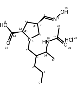 CCCC(CN1C[C@H](C=NO)C[C@@H]1C(=O)O)C(C)NC(C)=O.Cl